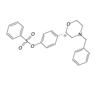 O=S(=O)(Oc1ccc([C@H]2CN(Cc3ccccc3)CCO2)cc1)c1ccccc1